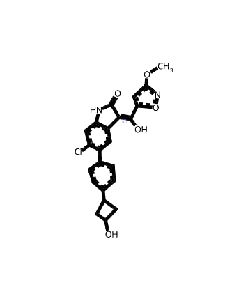 COc1cc(/C(O)=C2\C(=O)Nc3cc(Cl)c(-c4ccc(C5CC(O)C5)cc4)cc32)on1